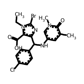 CCn1c(Br)nc(C(Nc2cc(C)c(=O)n(C)c2)c2ccc(Cl)cc2)c1C(=O)O